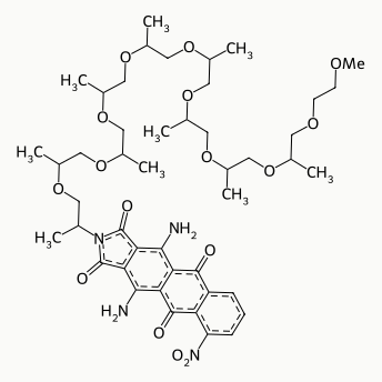 COCCOCC(C)OCC(C)OCC(C)OCC(C)OCC(C)OCC(C)OCC(C)OCC(C)OCC(C)n1c(=O)c2c(N)c3c(=O)c4cccc([N+](=O)[O-])c4c(=O)c3c(N)c2c1=O